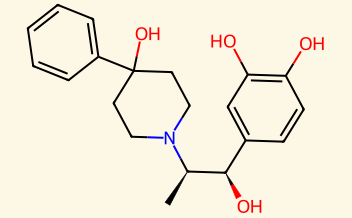 C[C@H]([C@H](O)c1ccc(O)c(O)c1)N1CCC(O)(c2ccccc2)CC1